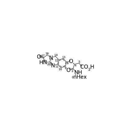 CCCCCCNC(=O)C(CC(=O)O)Oc1ccc2c(c1)CN1CC(=O)NC1=N2